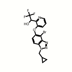 OC(c1ncccc1Oc1ccc2c(nnn2CC2CC2)c1Br)C(F)(F)F